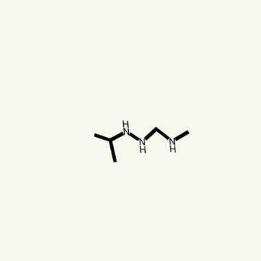 CNCNNC(C)C